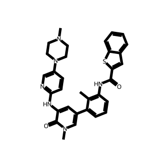 Cc1c(NC(=O)c2cc3ccccc3s2)cccc1-c1cc(Nc2ccc(N3CCN(C)CC3)cn2)c(=O)n(C)c1